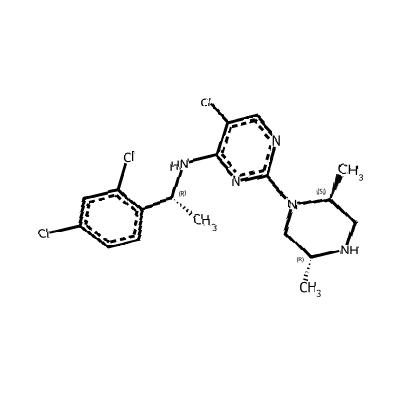 C[C@@H]1CN(c2ncc(Cl)c(N[C@H](C)c3ccc(Cl)cc3Cl)n2)[C@@H](C)CN1